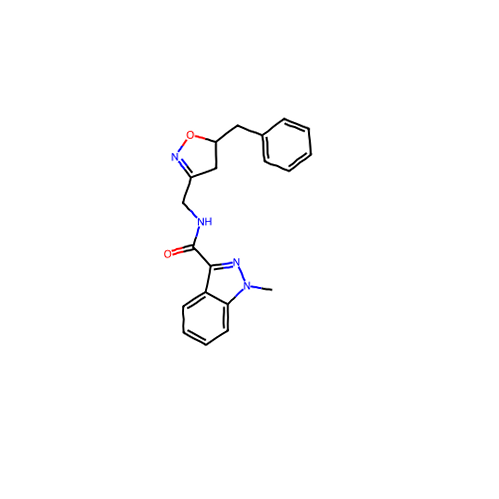 Cn1nc(C(=O)NCC2=NOC(Cc3ccccc3)C2)c2ccccc21